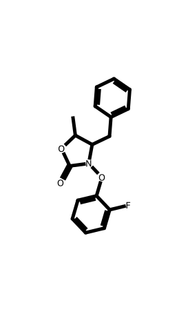 CC1OC(=O)N(Oc2ccccc2F)C1Cc1ccccc1